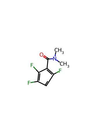 CN(C)C(=O)c1c(F)ccc(F)c1F